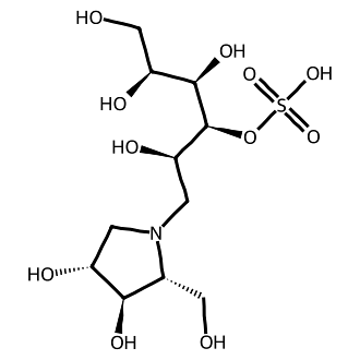 O=S(=O)(O)O[C@H]([C@H](O)[C@@H](O)CO)[C@H](O)CN1C[C@@H](O)[C@H](O)[C@H]1CO